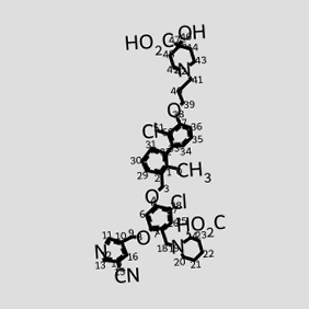 Cc1c(COc2cc(OCc3cncc(C#N)c3)c(CN3CCCC[C@H]3C(=O)O)cc2Cl)cccc1-c1cccc(OCCCN2CCC(O)(C(=O)O)CC2)c1Cl